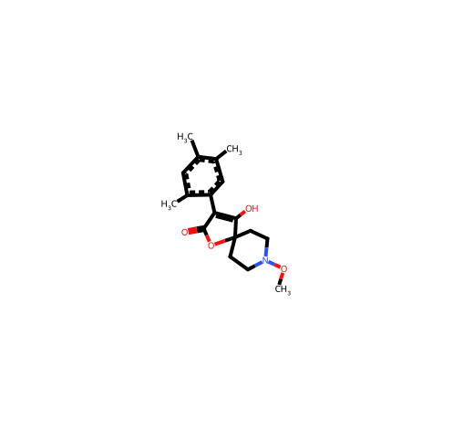 CON1CCC2(CC1)OC(=O)C(c1cc(C)c(C)cc1C)=C2O